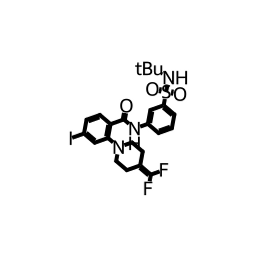 CC(C)(C)NS(=O)(=O)c1cccc(NC(=O)c2ccc(I)cc2N2CCC(=C(F)F)CC2)c1